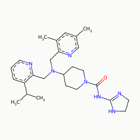 Cc1cnc(CN(Cc2ncccc2C(C)C)C2CCN(C(=O)NC3=NCCN3)CC2)c(C)c1